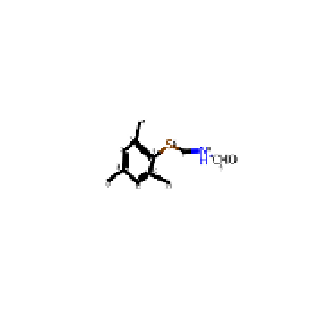 Cc1cc(C)c(SCNC=O)c(C)c1